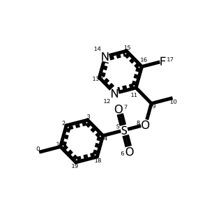 Cc1ccc(S(=O)(=O)OC(C)c2ncncc2F)cc1